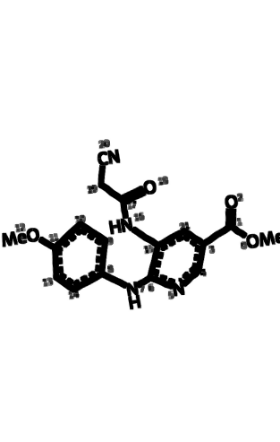 COC(=O)c1cnc(Nc2ccc(OC)cc2)c(NC(=O)CC#N)c1